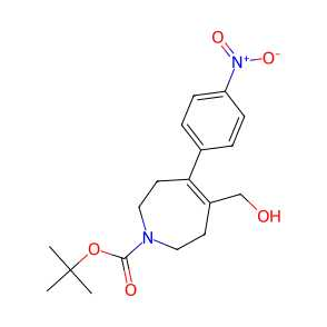 CC(C)(C)OC(=O)N1CCC(CO)=C(c2ccc([N+](=O)[O-])cc2)CC1